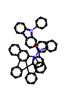 c1ccc(N(c2ccc3c(c2)C2(c4ccccc4-3)c3ccccc3-c3c2c(N(c2ccccc2)c2ccccc2)cc2ccccc32)c2ccc3c4ccccc4n(-c4ccccc4)c3c2)cc1